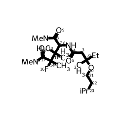 CCC(C)(CC(=O)NC(C(=O)NC)C(C)(C)C(C)(F)C(=O)NC)OCCC(C)C